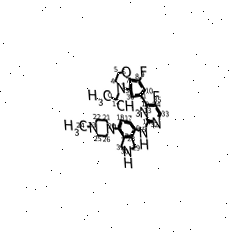 CC(C)N1CCOc2c(F)cc(-c3nc(Nc4ccc(N5CCN(C)CC5)c5c4CNC5)ncc3F)cc21